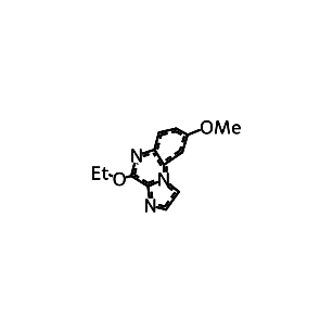 CCOc1nc2ccc(OC)cc2n2ccnc12